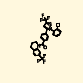 O=C(c1ccc(-c2cc(C(F)(F)F)nn2-c2ccccc2Cl)cc1)N1CCCc2ccc(C(F)(F)F)cc21